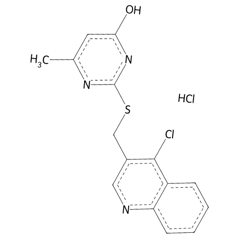 Cc1cc(O)nc(SCc2cnc3ccccc3c2Cl)n1.Cl